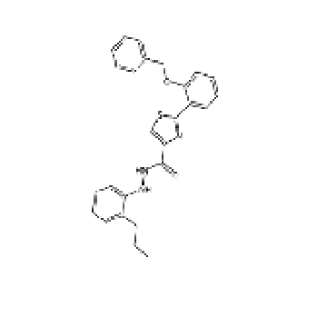 CCCc1ccccc1NNC(=O)c1csc(-c2ccccc2OCc2ccccc2)n1